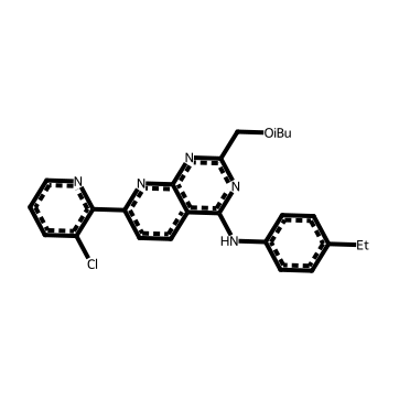 CCc1ccc(Nc2nc(COCC(C)C)nc3nc(-c4ncccc4Cl)ccc23)cc1